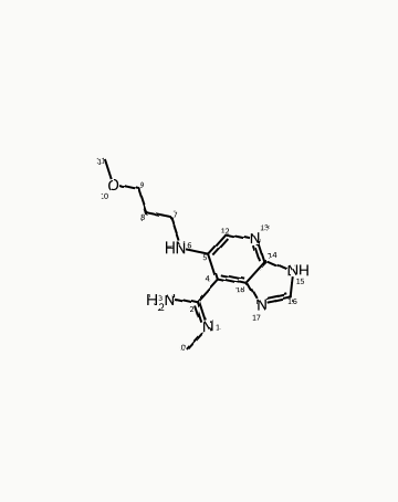 CN=C(N)c1c(NCCCOC)cnc2[nH]cnc12